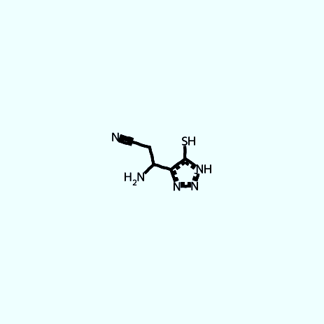 N#CCC(N)c1nn[nH]c1S